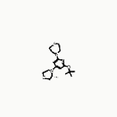 C[C@@H]1COCCN1c1cc(OC(C)(C)C)nc(N2CCSCC2)c1